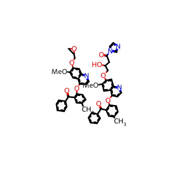 COc1cc2c(Oc3ccc(C)cc3C(=O)c3ccccc3)ccnc2cc1OCC(O)CC(=O)n1ccnc1.COc1cc2c(Oc3ccc(C)cc3C(=O)c3ccccc3)ccnc2cc1OCC1CO1